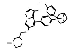 COc1ccc(CN2C3CC2CN(c2ccc(-c4cc(OCC5CN(C)CCO5)cn5ncc(C#N)c45)cn2)C3)cn1